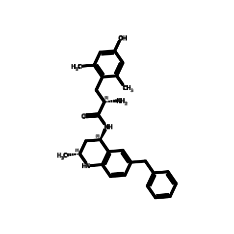 Cc1cc(O)cc(C)c1C[C@H](N)C(=O)N[C@@H]1C[C@@H](C)Nc2ccc(Cc3ccccc3)cc21